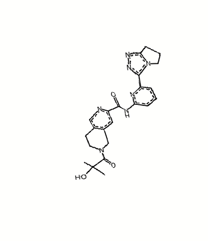 CC(C)(O)C(=O)N1CCc2cnc(C(=O)Nc3cccc(-c4nnc5n4CCC5)n3)cc2C1